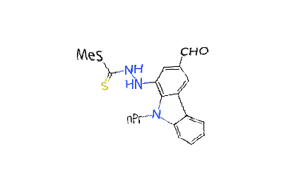 CCCn1c2ccccc2c2cc(C=O)cc(NNC(=S)SC)c21